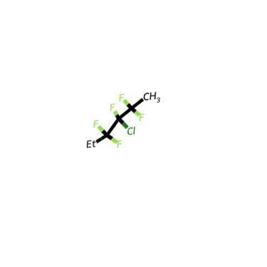 CCC(F)(F)C(F)(Cl)C(C)(F)F